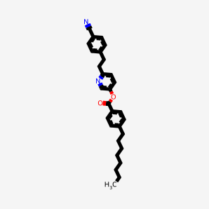 CCCCCCCCc1ccc(C(=O)Oc2ccc(CCc3ccc(C#N)cc3)nc2)cc1